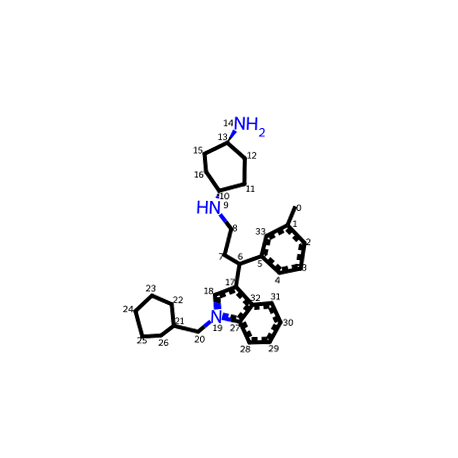 Cc1cccc(C(CCN[C@H]2CC[C@H](N)CC2)c2cn(CC3CCCCC3)c3ccccc23)c1